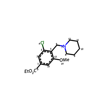 CCOC(=O)c1cc(Cl)c(CN2CCCCC2)c(OC)c1